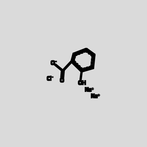 O=C([O-])c1ccccc1O.[Cl-].[Na+].[Na+]